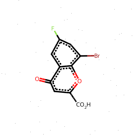 O=C(O)c1cc(=O)c2cc(F)cc(Br)c2o1